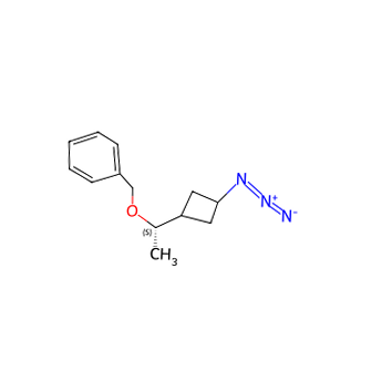 C[C@H](OCc1ccccc1)C1CC(N=[N+]=[N-])C1